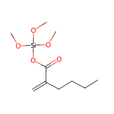 C=C(CCCC)C(=O)O[Si](OC)(OC)OC